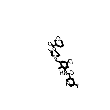 Cc1c(CN2CCN(C(=O)[C@@H]3CCCOC3)[C@@H](C)C2)cc(Cl)cc1NC(=O)c1cncc(F)c1